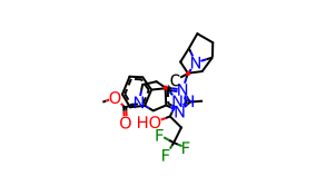 COC(=O)N1CCc2c(nc(C)n2C2CC3CCC(C2)N3CC[C@H](NC(O)CC(F)(F)F)c2ccccc2)C1